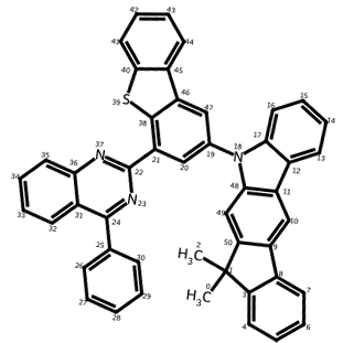 CC1(C)c2ccccc2-c2cc3c4ccccc4n(-c4cc(-c5nc(-c6ccccc6)c6ccccc6n5)c5sc6ccccc6c5c4)c3cc21